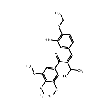 CCOc1ccc(C=C(C(=O)c2cc(OC)c(OC)c(OC)c2)C(C)C)cc1N